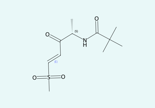 C[C@H](NC(=O)C(C)(C)C)C(=O)/C=C/S(C)(=O)=O